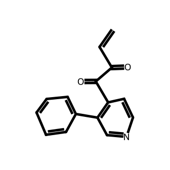 C=CC(=O)C(=O)c1ccncc1-c1ccccc1